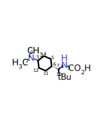 CN(C)[C@H]1CC[C@H](C(NC(=O)O)C(C)(C)C)CC1